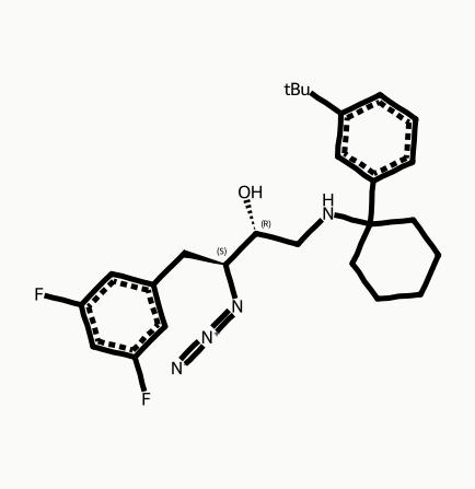 CC(C)(C)c1cccc(C2(NC[C@@H](O)[C@H](Cc3cc(F)cc(F)c3)N=[N+]=[N-])CCCCC2)c1